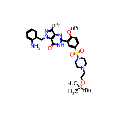 CCCOc1ccc(S(=O)(=O)N2CCN(CCO[Si](C)(C)C(C)(C)C)CC2)cc1-c1nc2c(CCC)nn(Cc3ccccc3N)c2c(=O)[nH]1